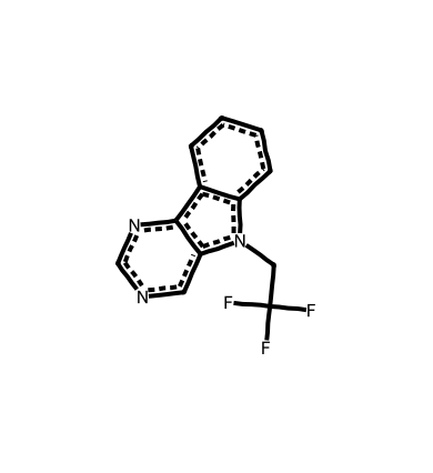 FC(F)(F)Cn1c2ccccc2c2ncncc21